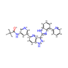 CC(C)(C)C(=O)Nc1cncc(-c2ccc3[nH]nc(-c4nc5c(-c6ccccn6)cccc5[nH]4)c3n2)c1